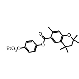 CCOC(=O)c1ccc(OC(=O)c2cc3c(cc2C)OC(C)(C)CC3(C)C)cc1